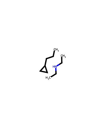 CCCC1CC1.CCNCC